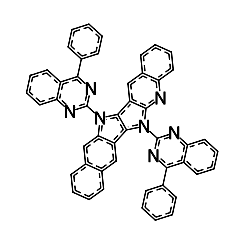 c1ccc(-c2nc(-n3c4cc5ccccc5cc4c4c3c3cc5ccccc5nc3n4-c3nc(-c4ccccc4)c4ccccc4n3)nc3ccccc23)cc1